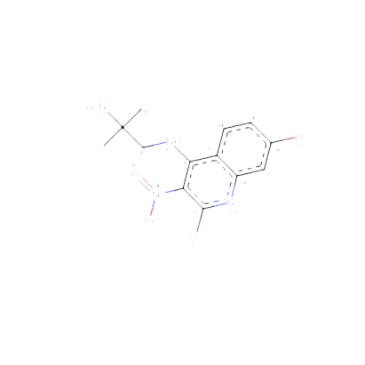 CC(C)(N)CNc1c([N+](=O)[O-])c(Cl)nc2cc(Br)ccc12